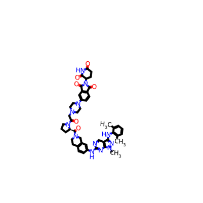 Cc1cccc(C)c1Nc1nn(C)c2nc(Nc3ccc4c(c3)CN(C(=O)[C@H]3CCCN3C(=O)CN3CCN(c5ccc6c(c5)C(=O)N(C5CCC(=O)NC5=O)C6=O)CC3)CC4)ncc12